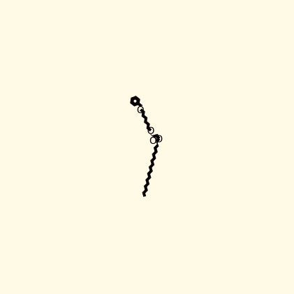 CCCCCCCCCCCCCCCCC[C@@H]1OC[C@@H](COCCCCCCOCc2ccccc2)O1